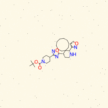 CC(C)(C)OC(=O)N1CCC(c2noc(C3CCNC(c4ccon4)C34CCCCCCCCC4)n2)CC1